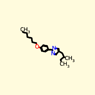 CCCCCCCOc1ccc(-c2ncc(CC(C)CC)cn2)cc1